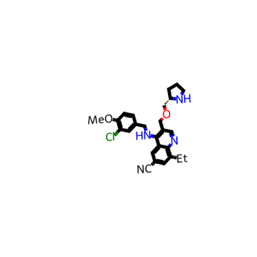 CCc1cc(C#N)cc2c(NCc3ccc(OC)c(Cl)c3)c(COC[C@@H]3CCCN3)cnc12